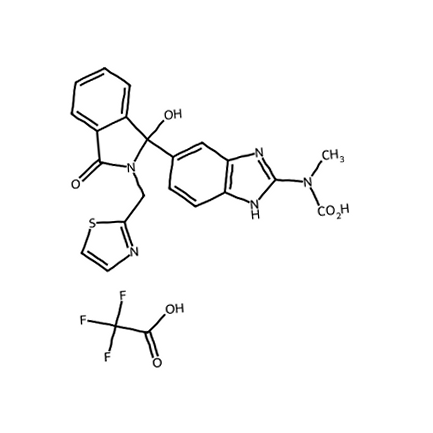 CN(C(=O)O)c1nc2cc(C3(O)c4ccccc4C(=O)N3Cc3nccs3)ccc2[nH]1.O=C(O)C(F)(F)F